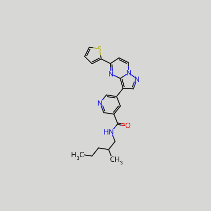 CCCC(C)CNC(=O)c1cncc(-c2cnn3ccc(-c4cccs4)nc23)c1